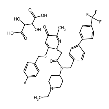 CCN1CCC(N(Cc2ccc(-c3ccc(C(F)(F)F)cc3)cc2)C(=O)Cn2nc(C)c(=O)cc2SCc2ccc(F)cc2)CC1.O=C(O)C(O)C(O)C(=O)O